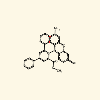 COC(=O)c1cc(-c2ccccc2)cc(-c2ccccc2)c1-c1c2ccc(=N)cc-2oc2cc(N)ccc12